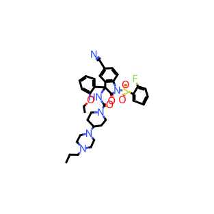 CCCN1CCN(C2CCN(C(=O)NC3(c4ccccc4OCC)C(=O)N(S(=O)(=O)c4ccccc4F)c4ccc(C#N)cc43)CC2)CC1